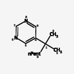 CCCCCC(C)(C)c1cncnc1